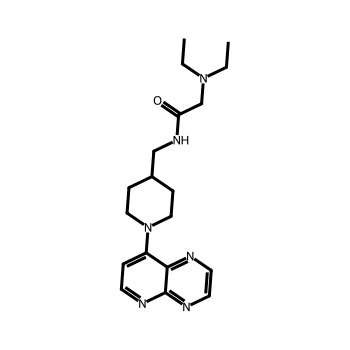 CCN(CC)CC(=O)NCC1CCN(c2ccnc3nccnc23)CC1